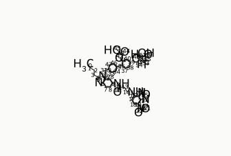 CCCCc1nc2ccc(NC(=O)CCNc3ccc([N+](=O)[O-])c4nonc34)cc2n1Cc1ccc(-c2ccccc2OC(=O)O)cc1.O.O=C(O)C(F)(F)F